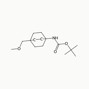 COCC12CCC(NC(=O)OC(C)(C)C)(CC1)CC2